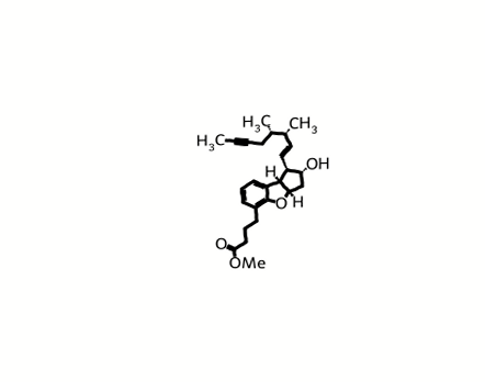 CC#CC[C@H](C)[C@H](C)/C=C/[C@@H]1[C@H]2c3cccc(CCCC(=O)OC)c3O[C@H]2C[C@H]1O